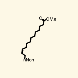 CCCCCCCCCC/C=C\CCCCCCCCCC(=O)OC